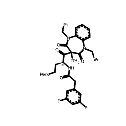 CSCC[C@H](NC(=O)Cc1cc(F)cc(F)c1)C(=O)C1(N)C(=O)N(CC(C)C)c2ccccc2N(CC(C)C)C1=O